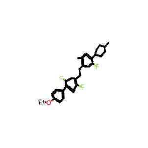 CCOc1ccc(-c2cc(F)c(CCc3cc(F)c(C4CCC(C)CC4)cc3C)cc2F)cc1